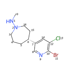 CNN1CCC[C@@H](c2cnc(Br)c(Cl)c2)CC1